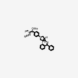 CO[C@H](c1ccc(N2C[C@@H]3[C@@H](N=C(c4ccccc4)c4ccccc4)[C@]3(I)C2)cc1)[C@@H](CF)N=[N+]=[N-]